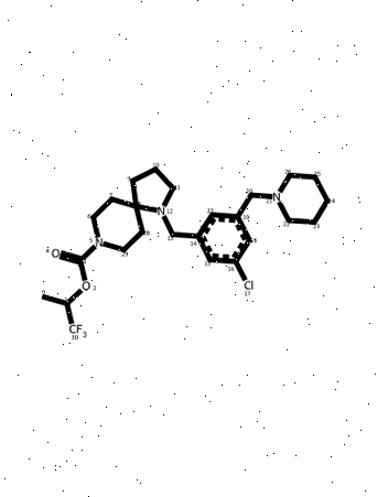 CC(OC(=O)N1CCC2(CCCN2Cc2cc(Cl)cc(CN3CCCCC3)c2)CC1)C(F)(F)F